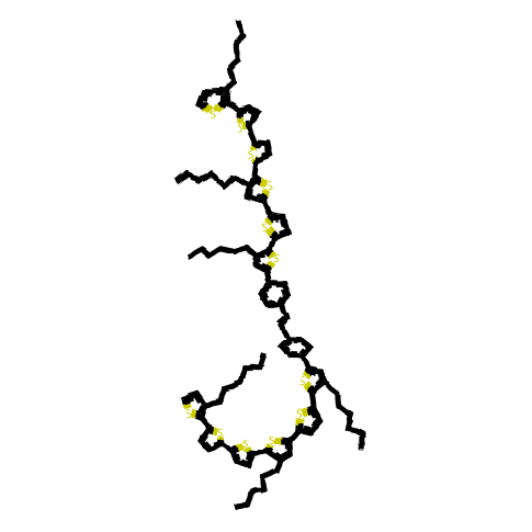 CCCCCCc1ccsc1-c1ccc(-c2ccc(-c3sc(-c4ccc(-c5sc(-c6ccc(/C=C/c7ccc(-c8cc(CCCCCC)c(-c9ccc(-c%10cc(CCCCCC)c(-c%11ccc(-c%12ccc(-c%13sccc%13CCCCCC)s%12)s%11)s%10)s9)s8)cc7)cc6)cc5CCCCCC)s4)cc3CCCCCC)s2)s1